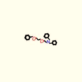 c1ccc(COCCCOCCN(Cc2ccccc2)Cc2ccccc2)cc1